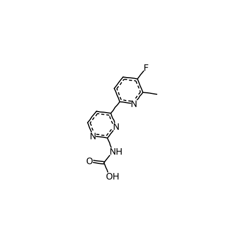 Cc1nc(-c2ccnc(NC(=O)O)n2)ccc1F